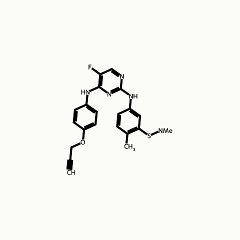 C#CCOc1ccc(Nc2nc(Nc3ccc(C)c(SNC)c3)ncc2F)cc1